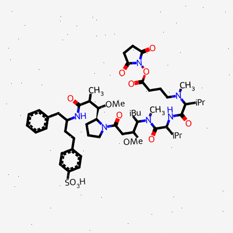 CCC(C)C(C(CC(=O)N1CCC[C@H]1C(OC)C(C)C(=O)NC(CCc1ccc(S(=O)(=O)O)cc1)Cc1ccccc1)OC)N(C)C(=O)C(NC(=O)C(C(C)C)N(C)CCCC(=O)ON1C(=O)CCC1=O)C(C)C